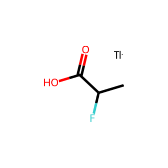 CC(F)C(=O)O.[Tl]